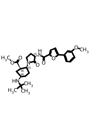 COC(=O)[C@@H]1C[C@H](NC(C)(C)C)CC[C@@H]1N1CC[C@H](NC(=O)c2ccc(-c3cccc(OC)c3)o2)C1=O